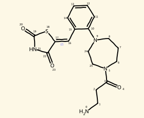 NCCC(=O)N1CCCN(c2ccccc2/C=C2\SC(=O)NC2=O)CC1